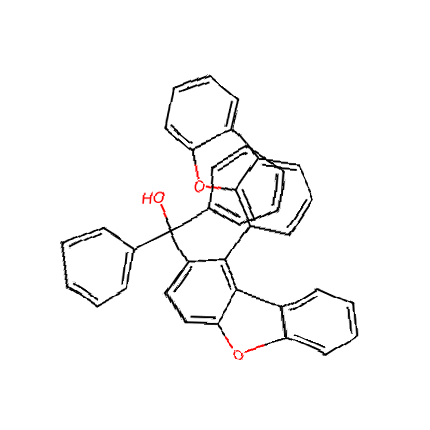 OC(c1ccccc1)(c1ccccc1)c1ccc2oc3ccccc3c2c1-c1cccc2c1oc1ccccc12